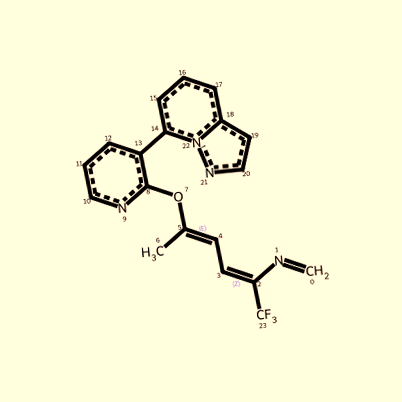 C=N/C(=C\C=C(/C)Oc1ncccc1-c1cccc2ccnn12)C(F)(F)F